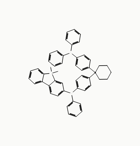 C[Si]1(C)c2ccccc2-c2ccc(N(c3ccccc3)c3ccc(C4(c5ccc(N(c6ccccc6)c6ccccc6)cc5)CCCCC4)cc3)cc21